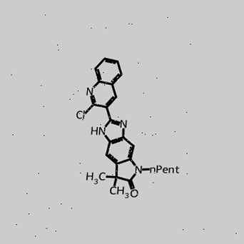 CCCCCN1C(=O)C(C)(C)c2cc3[nH]c(-c4cc5ccccc5nc4Cl)nc3cc21